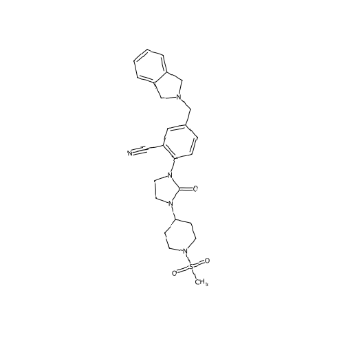 CS(=O)(=O)N1CCC(N2CCN(c3ccc(CN4Cc5ccccc5C4)cc3C#N)C2=O)CC1